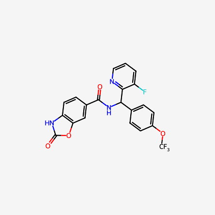 O=C(NC(c1ccc(OC(F)(F)F)cc1)c1ncccc1F)c1ccc2[nH]c(=O)oc2c1